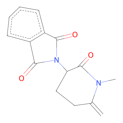 C=C1CCC(N2C(=O)c3ccccc3C2=O)C(=O)N1C